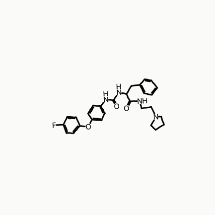 O=C(Nc1ccc(Oc2ccc(F)cc2)cc1)NC(Cc1ccccc1)C(=O)NCCN1CCCC1